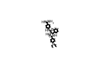 CCN(CC)c1ccc(C(=O)NC(c2ccccc2)C(O)C(=O)Nc2ccc(C(=N)N)cc2)cc1